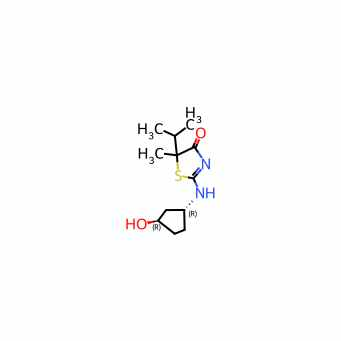 CC(C)C1(C)SC(N[C@@H]2CC[C@@H](O)C2)=NC1=O